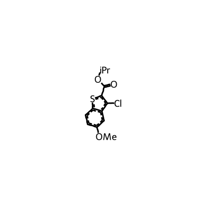 COc1ccc2sc(C(=O)OC(C)C)c(Cl)c2c1